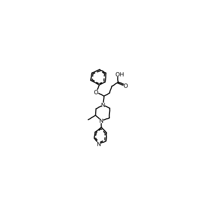 CC1CN(C(CCC(=O)O)Oc2ccccc2)CCN1c1ccncc1